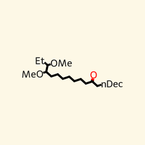 CCCCCCCCCCCC(=O)CCCCCCCC(OC)C(CC)OC